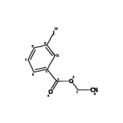 N#CCOC(=O)c1cccc(I)c1